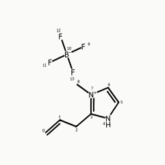 C=CCc1[nH]cc[n+]1C.F[B-](F)(F)F